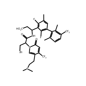 Cc1cc(-c2c(C)ccc(C(F)(F)F)c2C)c(F)c(C(CC(=O)O)NC(=O)C(CC(C)C)n2cc(CCN(C)C)c(C(F)(F)F)cc2=O)c1F